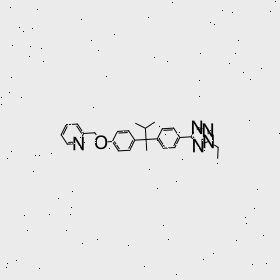 CCn1nnc(-c2ccc(C(C)(c3ccc(OCc4ccccn4)cc3)C(C)C)cc2)n1